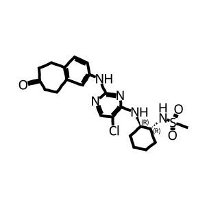 CS(=O)(=O)N[C@@H]1CCCC[C@H]1Nc1nc(Nc2ccc3c(c2)CCC(=O)CC3)ncc1Cl